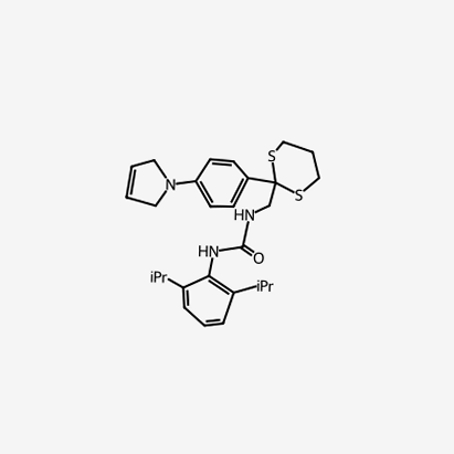 CC(C)c1cccc(C(C)C)c1NC(=O)NCC1(c2ccc(N3CC=CC3)cc2)SCCCS1